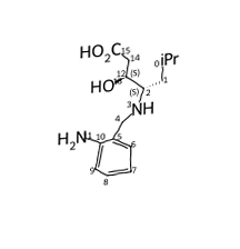 CC(C)C[C@H](NCc1ccccc1N)[C@@H](O)CC(=O)O